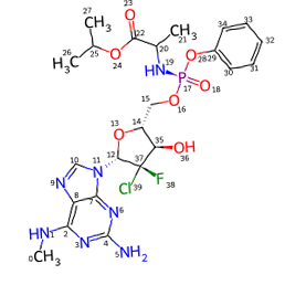 CNc1nc(N)nc2c1ncn2[C@@H]1O[C@H](CO[P@](=O)(NC(C)C(=O)OC(C)C)Oc2ccccc2)[C@@H](O)[C@]1(F)Cl